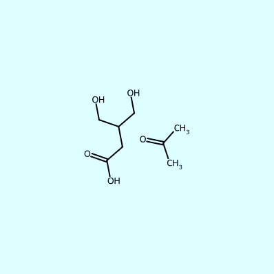 CC(C)=O.O=C(O)CC(CO)CO